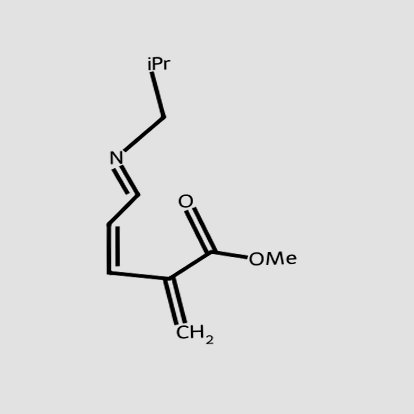 C=C(/C=C\C=N\CC(C)C)C(=O)OC